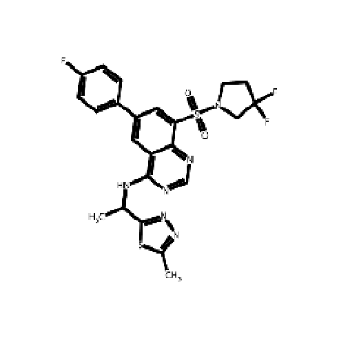 Cc1nnc(C(C)Nc2ncnc3c(S(=O)(=O)N4CCC(F)(F)C4)cc(-c4ccc(F)cc4)cc23)s1